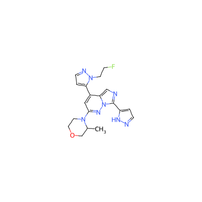 CC1COCCN1c1cc(-c2ccnn2CCF)c2cnc(-c3ccn[nH]3)n2n1